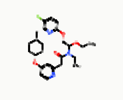 COCO[C@H](COc1ccc(F)cn1)N(COC)C(=O)Cc1cc(O[C@H]2CC[C@H](C)CC2)ccn1